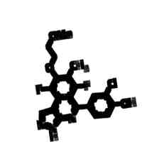 COCCOc1c(C)c(F)c2c(-c3ccc(O)c(Cl)c3)nc3[nH]ncc3c2c1F